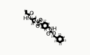 C=CC(=O)NC1CN(S(=O)(=O)c2ccc(NC(=O)OCc3ccccc3)cc2)C1